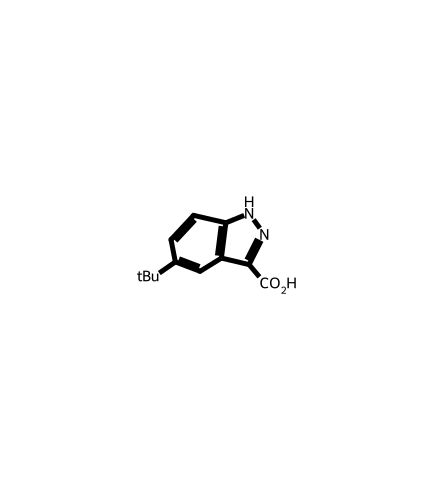 CC(C)(C)c1ccc2[nH]nc(C(=O)O)c2c1